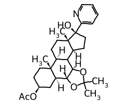 CC(=O)O[C@H]1CC[C@@]2(C)[C@H](C1)[C@H]1OC(C)(C)O[C@@H]1C1[C@@H]2CC[C@@]2(C)[C@H]1CC[C@@]2(O)c1ccccn1